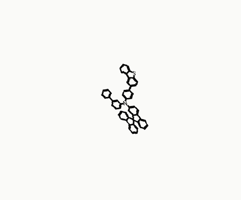 c1ccc(-c2cccc(N(c3ccc(-c4ccc5sc6ccccc6c5c4)cc3)c3ccc4c(c3)C3(c5ccccc5-c5ccccc53)c3ccccc3-4)c2)cc1